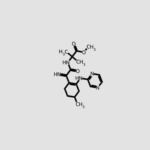 COC(=O)C(C)(C)NC(=O)C(=N)C1=C(Nc2cnccn2)CC(C)CC1